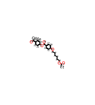 CCC(=O)OCCCCCCOc1ccc(C(=O)Oc2ccc(C(=O)OC)cc2)cc1